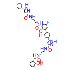 O=C(Cc1ccccc1O)NCCCNC(=O)c1cc(-c2ccc(-c3cc(F)cc(C(=O)NCCCNC(=O)c4cc(-c5ccccc5)[nH]n4)c3O)cc2)[nH]n1